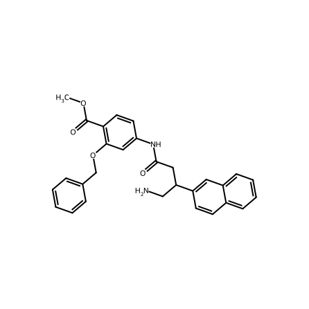 COC(=O)c1ccc(NC(=O)CC(CN)c2ccc3ccccc3c2)cc1OCc1ccccc1